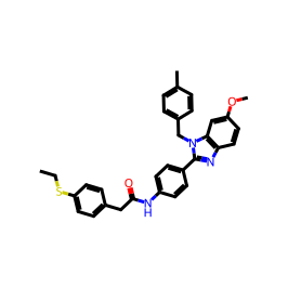 CCSc1ccc(CC(=O)Nc2ccc(-c3nc4ccc(OC)cc4n3Cc3ccc(C)cc3)cc2)cc1